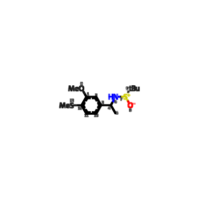 COc1cc(C(C)N[S@@+]([O-])C(C)(C)C)ccc1SC